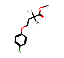 CC(C)OC(=O)C(C)(C)CCOc1ccc(Br)cc1